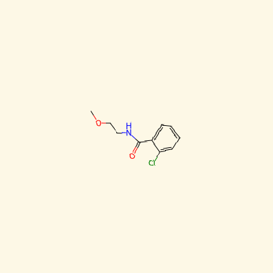 COCCNC(=O)c1ccccc1Cl